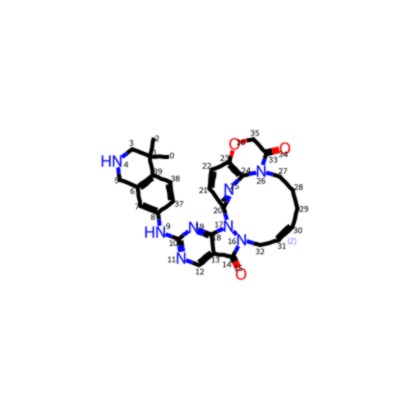 CC1(C)CNCc2cc(Nc3ncc4c(=O)n5n(c4n3)-c3ccc4c(n3)N(CCC/C=C\C5)C(=O)CO4)ccc21